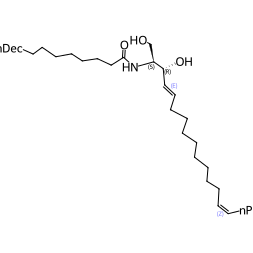 CCC/C=C\CCCCCCCC/C=C/[C@@H](O)[C@H](CO)NC(=O)CCCCCCCCCCCCCCCCC